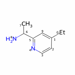 CCc1ccnc(C(C)N)c1